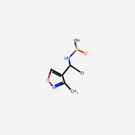 CCC(N[S+]([O-])C(C)(C)C)c1conc1C